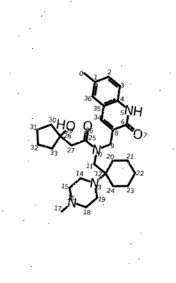 Cc1ccc2[nH]c(=O)c(CN(CC3(N4CCN(C)CC4)CCCCC3)C(=O)CC3(O)CCCC3)cc2c1